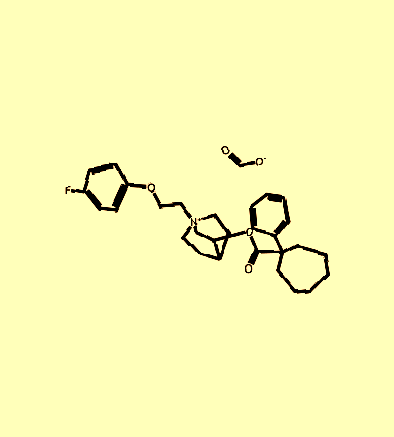 O=C(OC1C[N+]2(CCOc3ccc(F)cc3)CCC1CC2)C1(c2ccccc2)CCCCCC1.O=C[O-]